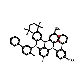 Cc1cc2c3c(c1)N(c1ccc(C(C)(C)C)cc1-c1ccccc1)c1ccc(C(C)(C)C)cc1C3c1cc3c(cc1N2c1cc(-c2ccccc2)ccc1C)C(C)(C)CCC3(C)C